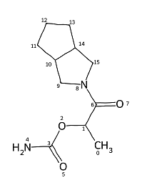 CC(OC(N)=O)C(=O)N1CC2CCCC2C1